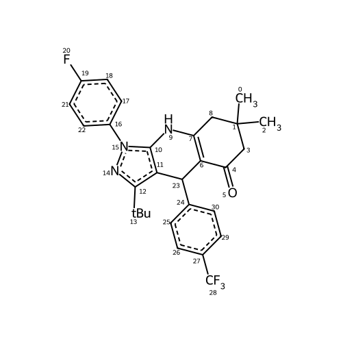 CC1(C)CC(=O)C2=C(C1)Nc1c(c(C(C)(C)C)nn1-c1ccc(F)cc1)C2c1ccc(C(F)(F)F)cc1